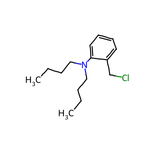 CCCCN(CCCC)c1ccccc1CCl